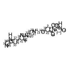 O=C1CCC(N2C(=O)c3ccc(OCCCN4CCC5(CC4)CN(c4ncc(-c6ccc7c(c6)[nH]c6ccncc67)cc4F)C5)cc3C2=O)C(=O)N1